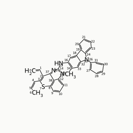 C=CC1=C(/C=C\C)Sc2cccc3nc(Nc4cc5c6ccccc6n(-c6ccccc6)c5cc4C)nc1c23